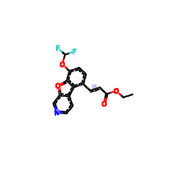 CCOC(=O)/C=C/c1ccc(OC(F)F)c2oc3cnccc3c12